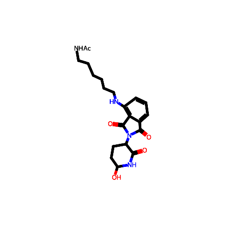 CC(=O)NCCCCCCNc1cccc2c1C(=O)N(C1CCC(O)NC1=O)C2=O